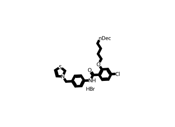 Br.CCCCCCCCCCCCCCOc1cc(Cl)ccc1C(=O)Nc1ccc(CN2C=CSC2)cc1